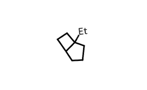 [CH2]CC12CCCC1CC2